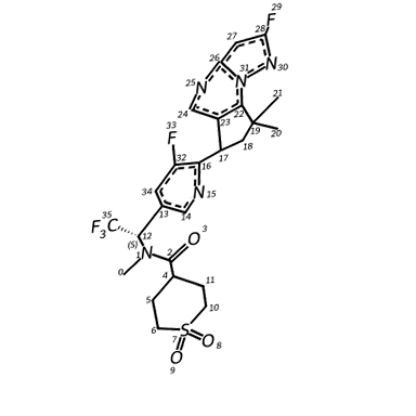 CN(C(=O)C1CCS(=O)(=O)CC1)[C@@H](c1cnc(C2CC(C)(C)c3c2cnc2cc(F)nn32)c(F)c1)C(F)(F)F